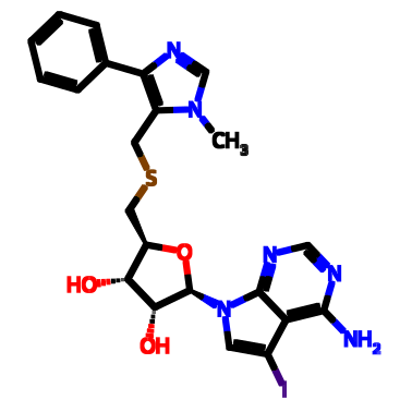 Cn1cnc(-c2ccccc2)c1CSC[C@H]1O[C@@H](n2cc(I)c3c(N)ncnc32)[C@H](O)[C@@H]1O